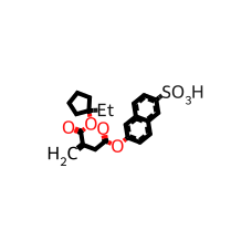 C=C(CC(=O)Oc1ccc2cc(S(=O)(=O)O)ccc2c1)C(=O)OC1(CC)CCCC1